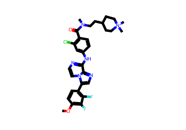 COc1ccc(-c2cnc3c(Nc4ccc(C(=O)N(C)CCC5CC[N+](C)(C)CC5)c(Cl)c4)nccn23)c(F)c1F